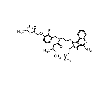 CCN(C)CC(=O)N(CCCn1c(CCOC)nc2c(N)nc3ccccc3c21)Cc1cccc(OCC(=O)OC(C)C)c1F